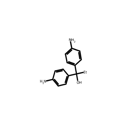 CCC(O)(c1ccc(N)cc1)c1ccc(N)cc1